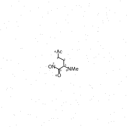 CNC(CCC(C)=O)C(=O)N=O